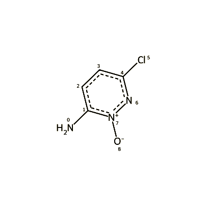 Nc1ccc(Cl)n[n+]1[O-]